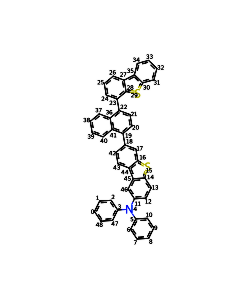 c1ccc(N(c2ccccc2)c2ccc3sc4cc(-c5ccc(-c6cccc7c6sc6ccccc67)c6ccccc56)ccc4c3c2)cc1